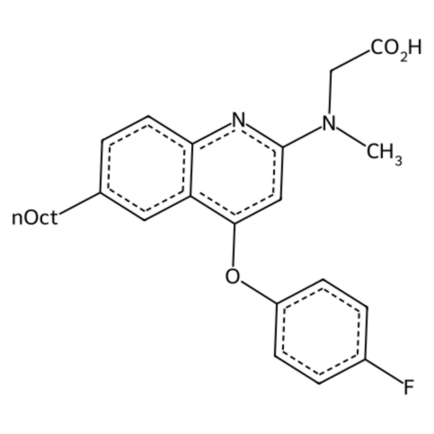 CCCCCCCCc1ccc2nc(N(C)CC(=O)O)cc(Oc3ccc(F)cc3)c2c1